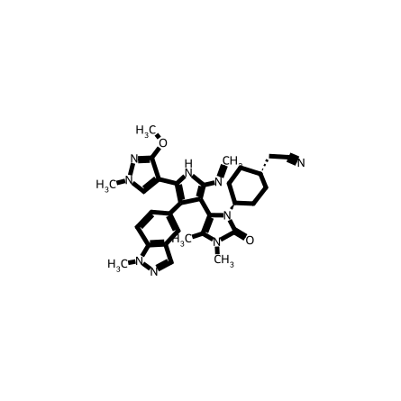 C=Nc1[nH]c(-c2cn(C)nc2OC)c(-c2ccc3c(cnn3C)c2)c1-c1c(C)n(C)c(=O)n1[C@H]1CC[C@@H](CC#N)CC1